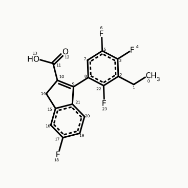 CCc1c(F)c(F)cc(C2=C(C(=O)O)Cc3cc(F)ccc32)c1F